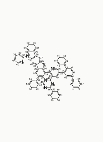 c1ccc(-c2ccc(-c3ccccc3)c(-c3cnc(-c4cccc5c4sc4cc6c7ccccc7n(-c7ccccc7)c6cc45)c(-c4nc(-c5ccccc5)nc(-c5ccccc5)n4)c3)c2)cc1